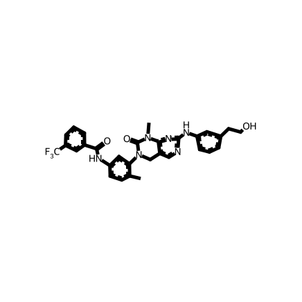 Cc1ccc(NC(=O)c2cccc(C(F)(F)F)c2)cc1N1Cc2cnc(Nc3cccc(CCO)c3)nc2N(C)C1=O